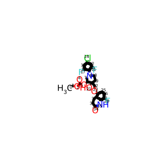 CCOC(=O)O[C@@H]1CN(c2c(F)cc(Cl)cc2F)CC[C@@]1(O)COc1ccc(F)c2c1CCC(=O)N2